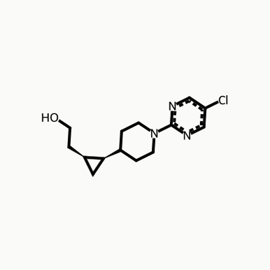 OCC[C@@H]1C[C@@H]1C1CCN(c2ncc(Cl)cn2)CC1